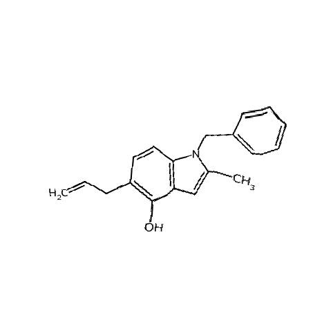 C=CCc1ccc2c(cc(C)n2Cc2ccccc2)c1O